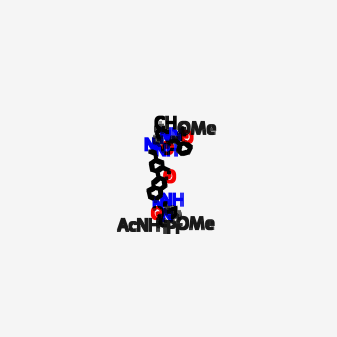 COC[C@H]1C[C@@H](c2nc3ccc4cc5c(cc4c3[nH]2)OCc2cc(-c3cnc([C@@H]4C[C@H](C)CN4C(=O)[C@H](NC(=O)OC)c4ccccc4)[nH]3)ccc2-5)N(C(=O)[C@@H](NC(C)=O)C(C)C)C1